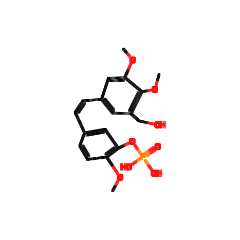 COc1ccc(/C=C\c2cc(CO)c(OC)c(OC)c2)cc1OP(=O)(O)O